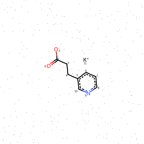 O=C([O-])CCc1cccnc1.[K+]